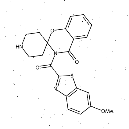 COc1ccc2nc(C(=O)N3C(=O)c4ccccc4OC34CCNCC4)sc2c1